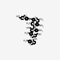 CC1CCCN2c3ccc(N)cc3OCC12.CC1CCN2c3ccc(N)cc3OCC2C1.Nc1ccc2c(c1)OCC1C(CO)CCCN21.Nc1ccc2c(c1)OCC1CC(CO)CCN21.Nc1ccc2c(c1)OCC1CCC(CO)CN21.Nc1ccc2c(c1)OCC1CCCC(CO)N21